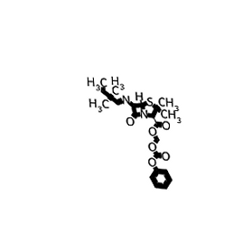 CCC(C)(C)/C=N/C1C(=O)N2[C@@H]1SC(C)(C)[C@@H]2C(=O)OCOC(=O)Oc1ccccc1